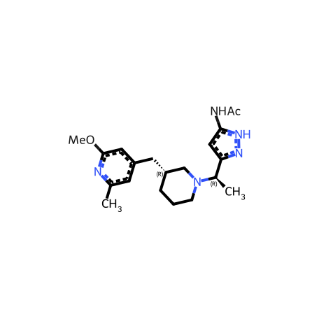 COc1cc(C[C@H]2CCCN([C@H](C)c3cc(NC(C)=O)[nH]n3)C2)cc(C)n1